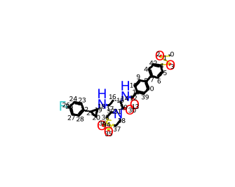 CS(=O)(=O)c1ccc(-c2ccc(C(=O)N[C@@H](CCN[C@@H]3C[C@H]3c3ccc(F)cc3)C(=O)N3CCS(=O)(=O)CC3)cc2)cc1